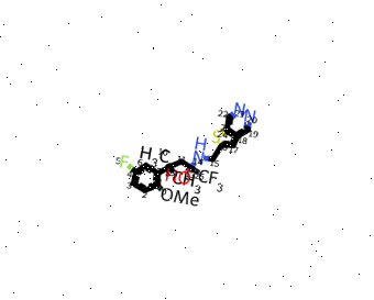 COc1ccc(F)cc1C(C)(C)CC(O)(NCc1cc2cnncc2s1)C(F)(F)F